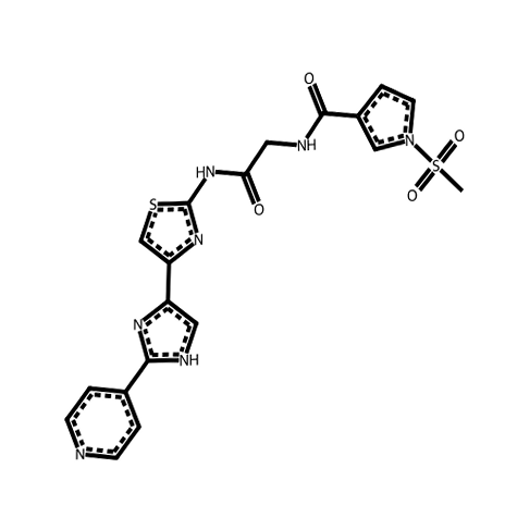 CS(=O)(=O)n1ccc(C(=O)NCC(=O)Nc2nc(-c3c[nH]c(-c4ccncc4)n3)cs2)c1